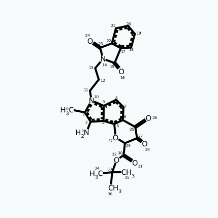 Cc1c(N)c2c3c(ccc2n1CCCN1C(=O)c2ccccc2C1=O)C(=O)C(=O)C(C(=O)OC(C)(C)C)O3